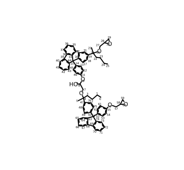 CCCCC(C)(OCC(O)Oc1ccc(C2(c3ccc(C(C)(CCCC)OCC4CO4)cc3)c3ccccc3-c3ccccc32)cc1)c1ccc(C2(c3ccc(OCC4CO4)cc3)c3ccccc3-c3ccccc32)cc1